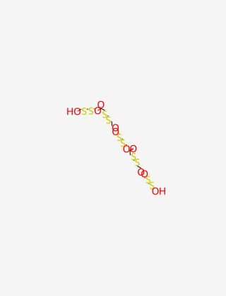 O=C(CSCSCCOOCSCSCOC(=O)CSCSCCOOCSCSCO)OCSCSCO